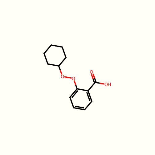 O=C(O)c1ccccc1OOC1CCCCC1